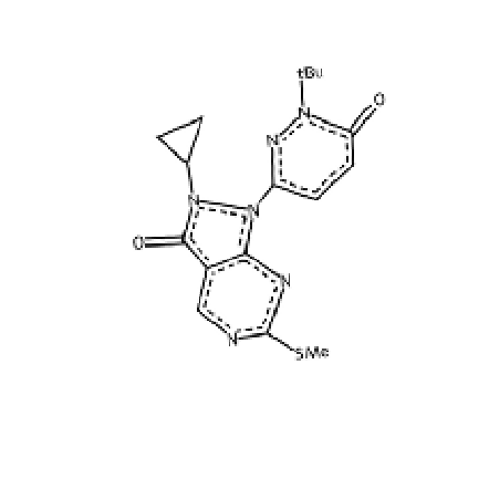 CSc1ncc2c(=O)n(C3CC3)n(-c3ccc(=O)n(C(C)(C)C)n3)c2n1